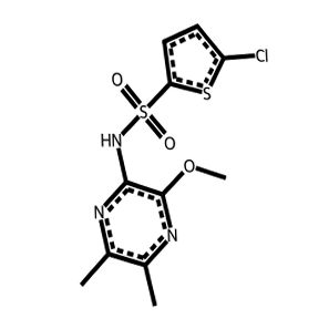 COc1nc(C)c(C)nc1NS(=O)(=O)c1ccc(Cl)s1